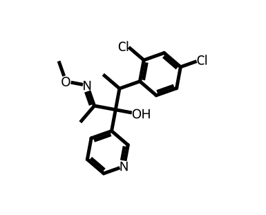 CO/N=C(\C)C(O)(c1cccnc1)C(C)c1ccc(Cl)cc1Cl